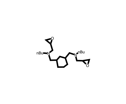 CCCCN(CC1CCCC(CN(CCCC)CC2CO2)C1)CC1CO1